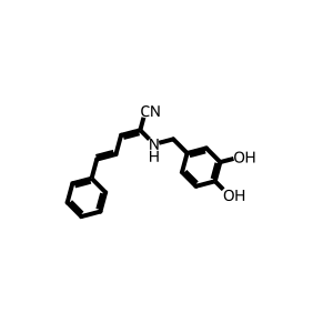 N#CC(=CC=Cc1ccccc1)NCc1ccc(O)c(O)c1